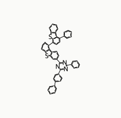 c1ccc(-c2ccc(-c3nc(-c4ccccc4)nc(-c4ccc5c(c4)sc4cccc(-c6ccc(-c7ccccc7)c7c6sc6ccccc67)c45)n3)cc2)cc1